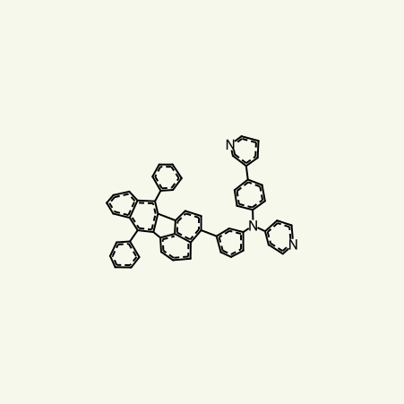 c1ccc(-c2c3c(c(-c4ccccc4)c4ccccc24)-c2ccc(-c4cccc(N(c5ccncc5)c5ccc(-c6cccnc6)cc5)c4)c4cccc-3c24)cc1